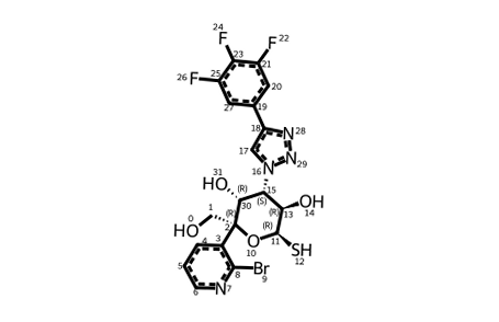 OC[C@@]1(c2cccnc2Br)O[C@H](S)[C@H](O)[C@@H](n2cc(-c3cc(F)c(F)c(F)c3)nn2)[C@H]1O